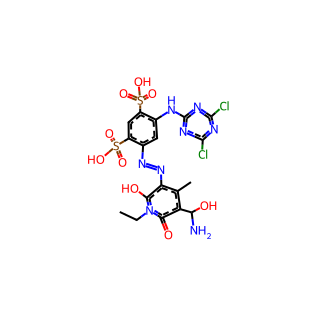 CCn1c(O)c(/N=N/c2cc(Nc3nc(Cl)nc(Cl)n3)c(S(=O)(=O)O)cc2S(=O)(=O)O)c(C)c(C(N)O)c1=O